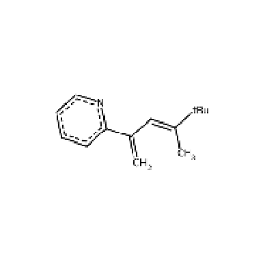 C=C(/C=C(\C)C(C)(C)C)c1ccccn1